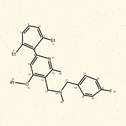 CCc1cccc(CC)c1-c1cc(OC(C)C)c(CN(C)Cc2ccc(F)cc2)c(C)n1